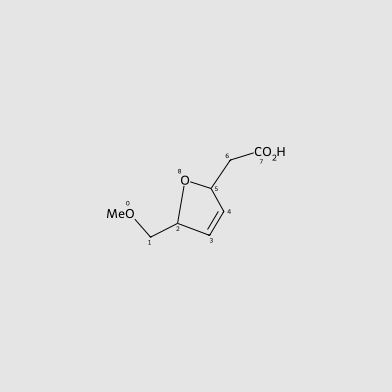 COCC1C=CC(CC(=O)O)O1